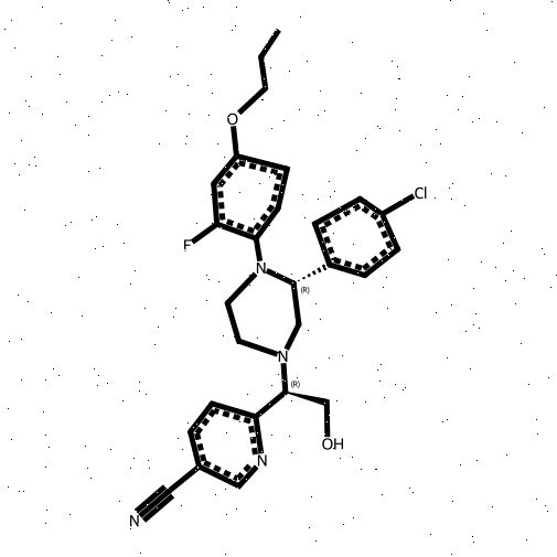 CCCOc1ccc(N2CCN([C@@H](CO)c3ccc(C#N)cn3)C[C@H]2c2ccc(Cl)cc2)c(F)c1